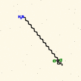 C[Si](Cl)(Cl)CCCCCCCCCCCCCCCCCCCCCCCN